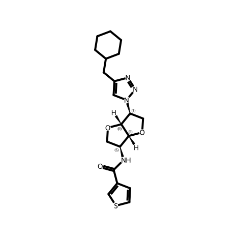 O=C(N[C@H]1CO[C@H]2[C@@H]1OC[C@@H]2n1cc(CC2CCCCC2)nn1)c1ccsc1